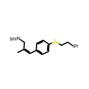 CNCC(C)=Cc1ccc(SCCC(C)C)cc1